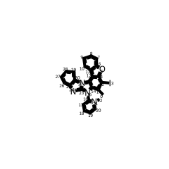 Cc1c(I)c2oc3ccccc3c2c2c1n(-c1cccc[n+]1C)c1nc3ccccc3n21